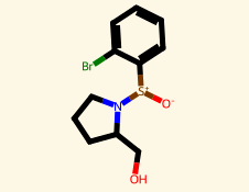 [O-][S+](c1ccccc1Br)N1CCCC1CO